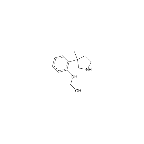 CC1(c2ccccc2NCO)CCNC1